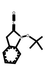 CC(C)(C)ON1C(=C=O)Cc2ccccc21